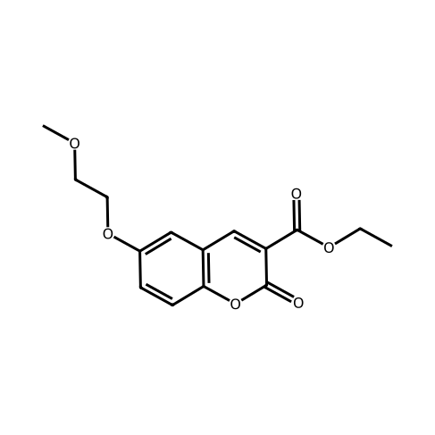 CCOC(=O)c1cc2cc(OCCOC)ccc2oc1=O